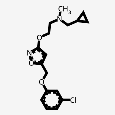 CN(CCOc1cc(COc2cccc(Cl)c2)on1)CC1CC1